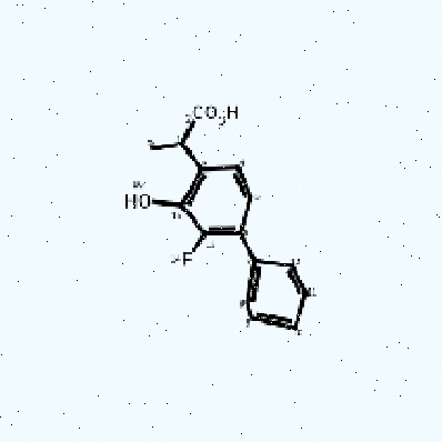 CC(C(=O)O)c1ccc(-c2ccccc2)c(F)c1O